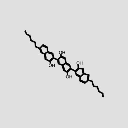 CCCCCCc1ccc2cc(-c3cc4cc(O)c(-c5cc6ccc(CCCCCC)cc6cc5O)cc4cc3O)c(O)cc2c1